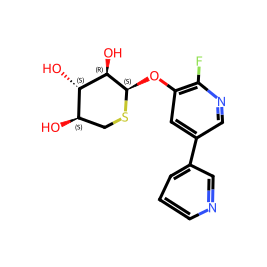 O[C@@H]1[C@@H](O)[C@@H](Oc2cc(-c3cccnc3)cnc2F)SC[C@H]1O